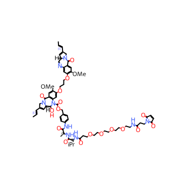 C/C=C/C1=C[C@H]2C=Nc3cc(OCCCOc4cc5c(cc4OC)C(=O)N4CC(/C=C/C)=C[C@H]4[C@H](O)N5C(=O)OCc4ccc(NC(=O)[C@H](C)NC(=O)[C@@H](NC(=O)CCOCCOCCOCCOCCNC(=O)CCN5C(=O)C=CC5=O)C(C)C)cc4)c(OC)cc3C(=O)N2C1